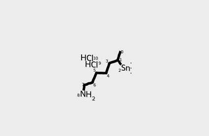 C[CH]([Sn])CCCCCN.Cl.Cl